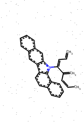 C=C/C=C(\C(=C)/C=C\C)n1c2cc3ccccc3cc2c2ccc3ccccc3c21